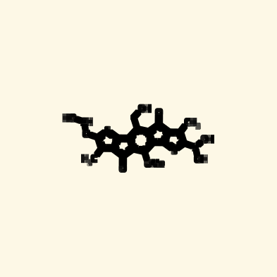 COc1c2c(=O)c3c(C)c(OBO)sc3c2c(CO)c2c(=O)c3c(C)c(B(O)O)sc3c12